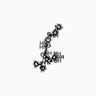 N[C@H]1C[C@@H](n2cnc3c(NCC(c4ccccc4)c4ccccc4)nc(C(=O)NCCNC(=O)NC4CCN(C(=O)NC5CCN(c6ccccn6)CC5)CC4)nc32)[C@H](O)[C@@H]1O